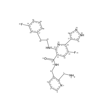 NCc1ncccc1CNC(=O)c1cc(F)c(-c2cn[nH]c2)nc1NCCc1cccc(F)c1